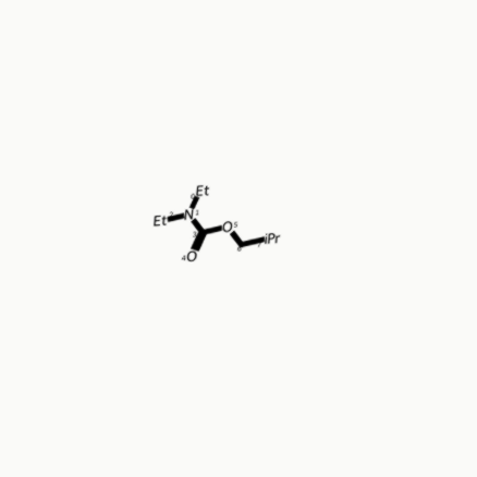 CCN(CC)C(=O)OCC(C)C